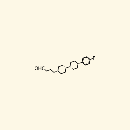 O=CCCC[C@H]1CC[C@H]([C@H]2CC[C@H](c3ccc(F)cc3)CC2)CC1